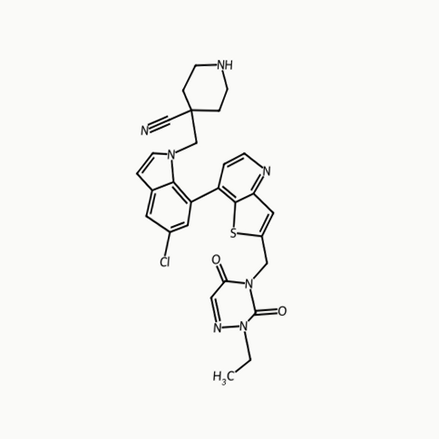 CCn1ncc(=O)n(Cc2cc3nccc(-c4cc(Cl)cc5ccn(CC6(C#N)CCNCC6)c45)c3s2)c1=O